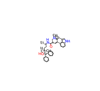 CC[C@@H](CCC(C)(C)[Si](O)(c1ccccc1)c1ccccc1)NC(=O)[C@@H]1C=C2c3cccc4[nH]cc(c34)C[C@H]2N(C)C1